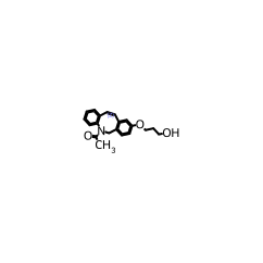 CC(=O)N1Cc2ccc(OCCCO)cc2/C=C\c2ccccc21